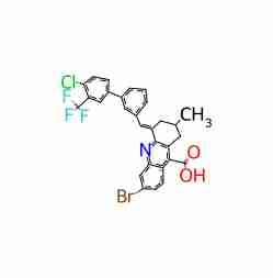 CC1C/C(=C\c2cccc(-c3ccc(Cl)c(C(F)(F)F)c3)c2)c2nc3cc(Br)ccc3c(C(=O)O)c2C1